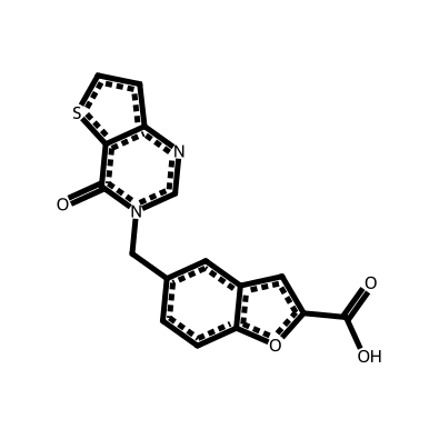 O=C(O)c1cc2cc(Cn3cnc4ccsc4c3=O)ccc2o1